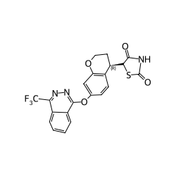 O=C1NC(=O)C([C@@H]2CCOc3cc(Oc4nnc(C(F)(F)F)c5ccccc45)ccc32)S1